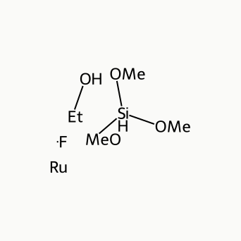 CCO.CO[SiH](OC)OC.[F].[Ru]